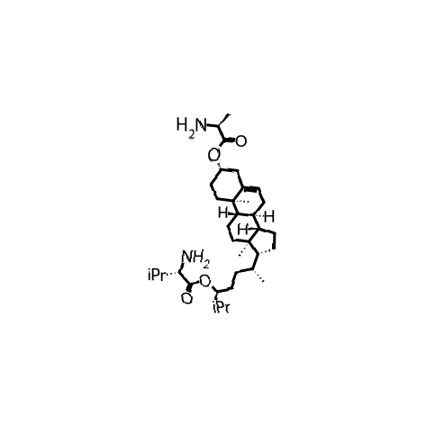 CC(C)[C@H](CC[C@@H](C)[C@H]1CC[C@H]2[C@@H]3CC=C4C[C@@H](OC(=O)[C@H](C)N)CC[C@]4(C)[C@H]3CC[C@]12C)OC(=O)[C@@H](N)C(C)C